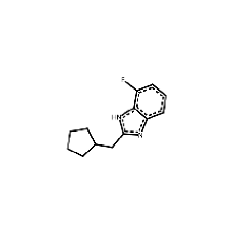 Fc1cccc2nc(CC3CCCC3)[nH]c12